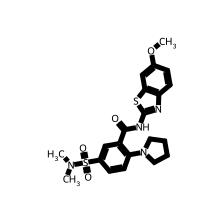 COc1ccc2nc(NC(=O)c3cc(S(=O)(=O)N(C)C)ccc3N3CCCC3)sc2c1